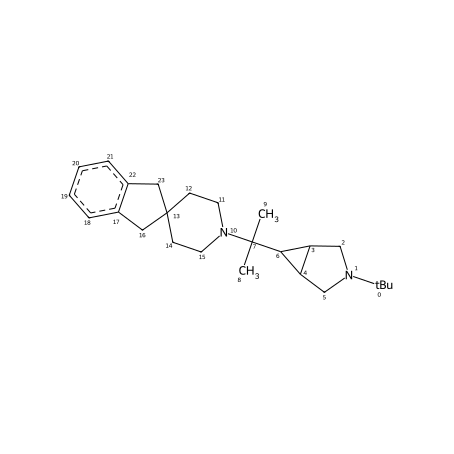 CC(C)(C)N1CC2C(C1)C2C(C)(C)N1CCC2(CC1)Cc1ccccc1C2